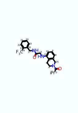 CC(C)C(=O)N1CCc2c(cccc2NCC(=O)NCc2ccccc2C(F)(F)F)C1